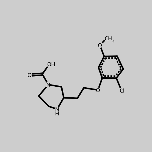 COc1ccc(Cl)c(OCCC2CN(C(=O)O)CCN2)c1